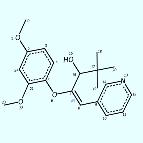 COc1ccc(O/C(=C/c2cccnc2)C(O)C(C)(C)C)c(OC)c1